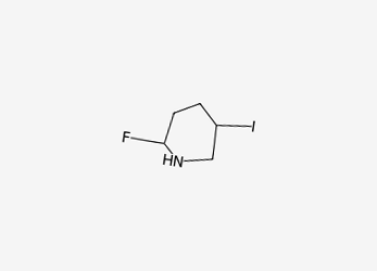 FC1CCC(I)CN1